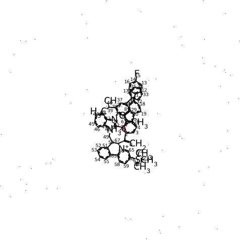 C=C1c2ccc3c(oc4cc(-c5ccc(F)cc5)ccc43)c2-c2n(-c3c(C(C)C)cc(-c4ccccc4)cc3C(C)C)c3ccccc3[n+]2CC2c3ccccc3-c3ccc([Si](C)(C)C)c[n+]3C12